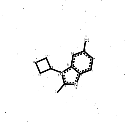 CCc1ccc2nc(C)n(C3CCC3)c2c1